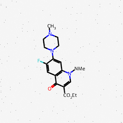 CCOC(=O)c1cn(NC)c2cc(N3CCN(C)CC3)c(F)cc2c1=O